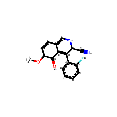 COC1C=CC2=C[N]C(C#N)C(c3ccccc3F)=C2C1=O